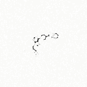 CCCS(=O)(=O)N[C@@H](Cn1cnc2c(N3CCC(C(=O)NC4=NCCCN4)CC3)ncnc21)C(=O)O